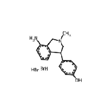 Br.Br.CN1Cc2c(N)cccc2C(c2ccc(O)cc2)C1